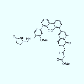 COC(=O)CNCc1cnc2cc(-c3cccc(-c4cccc(-c5ccc(CNC[C@@H]6CCC(=O)N6)c(OC)n5)c4Cl)c3Cl)cc(C)n2c1=O